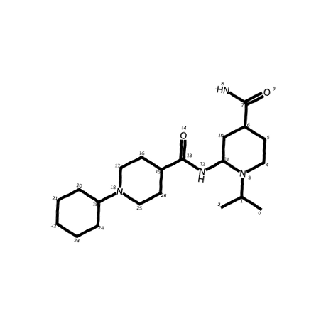 CC(C)N1CCC(C([NH])=O)CC1NC(=O)C1CCN(C2CCCCC2)CC1